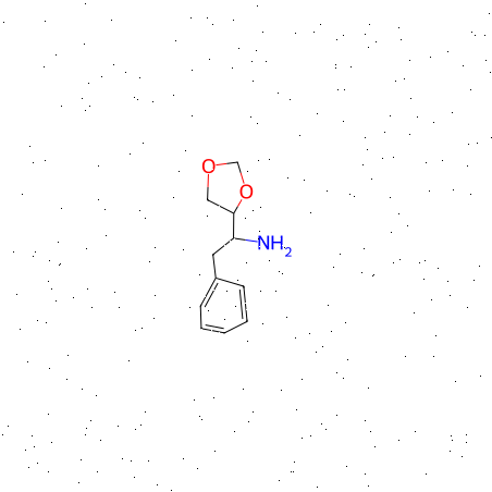 NC(Cc1ccccc1)C1COCO1